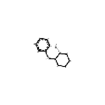 Cl[C@@H]1CCCC[C@H]1Sc1ccccc1